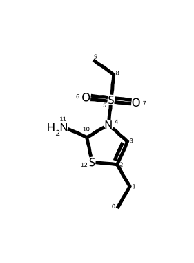 CCC1=CN(S(=O)(=O)CC)C(N)S1